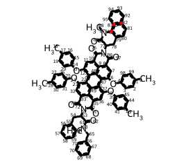 Cc1ccc(Oc2cc3c4c(cc(Oc5ccc(C)cc5)c5c6c(Oc7ccc(C)cc7)cc7c8c(cc(Oc9ccc(C)cc9)c(c2c45)c86)C(=O)N(C(Cc2ccccc2)C(=O)N(C)Cc2ccccc2)C7=O)C(=O)N(C(Cc2ccccc2)C(=O)N(C)Cc2ccccc2)C3=O)cc1